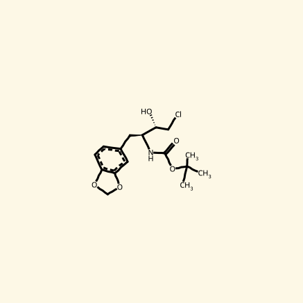 CC(C)(C)OC(=O)N[C@@H](Cc1ccc2c(c1)OCO2)[C@H](O)CCl